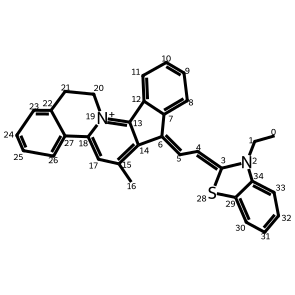 CCN1C(=CC=C2c3ccccc3-c3c2c(C)cc2[n+]3CCc3ccccc3-2)Sc2ccccc21